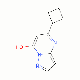 Oc1cc(C2CCC2)nc2ccnn12